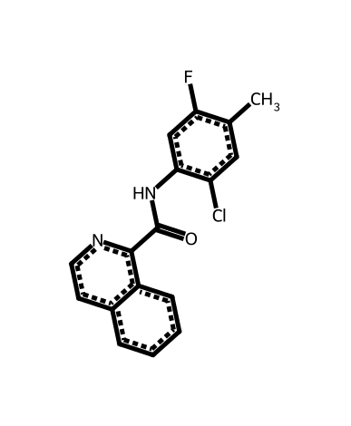 Cc1cc(Cl)c(NC(=O)c2nccc3ccccc23)cc1F